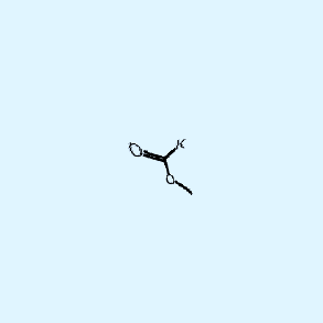 CO[C](=O)[K]